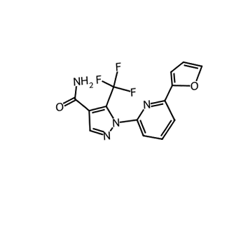 NC(=O)c1cnn(-c2cccc(-c3ccco3)n2)c1C(F)(F)F